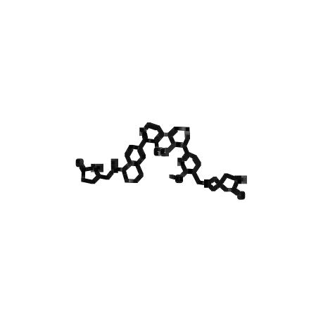 COc1nc(-c2cccc(-c3ccnc(-c4ccc5c(c4)CCCC5NCC4CCC(=O)N4)c3Cl)c2Cl)ccc1CN1CC2(CNC(=O)C2)C1